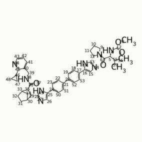 COC(=O)N[C@H](C(=O)N1CCC[C@H]1c1ncc(-c2ccc(-c3ccc(-c4cnc([C@@H]5C6CCC(C6)[C@H]5C(=O)NCc5cccnc5C5CC5)[nH]4)cc3)cc2)[nH]1)C(C)C